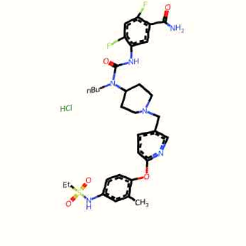 CCCCN(C(=O)Nc1cc(C(N)=O)c(F)cc1F)C1CCN(Cc2ccc(Oc3ccc(NS(=O)(=O)CC)cc3C)nc2)CC1.Cl